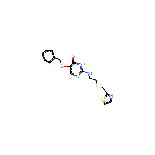 O=c1[nH]c(NCCSCc2nccs2)ncc1OCc1ccccc1